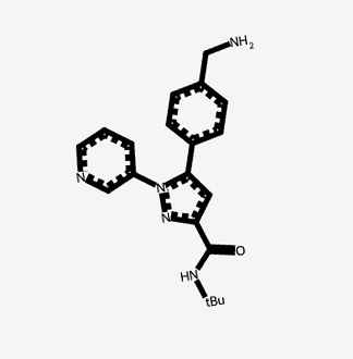 CC(C)(C)NC(=O)c1cc(-c2ccc(CN)cc2)n(-c2cccnc2)n1